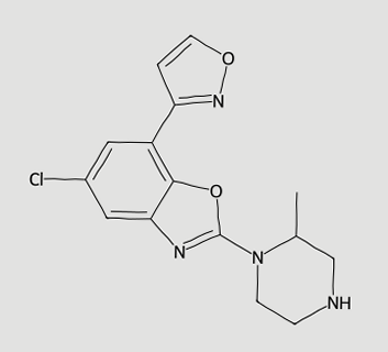 CC1CNCCN1c1nc2cc(Cl)cc(-c3ccon3)c2o1